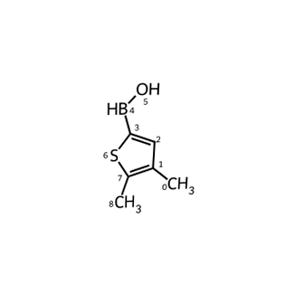 Cc1cc(BO)sc1C